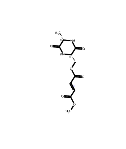 COC(=O)/C=C/C(=O)OC[C@@H]1NC(=O)[C@H](C)NC1=O